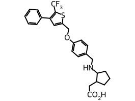 O=C(O)CC1CCCC1NCc1ccc(OCc2cc(-c3ccccc3)c(C(F)(F)F)s2)cc1